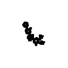 Cc1cc(-c2nc(-c3cc(C)c(CBr)c(CBr)c3)no2)ccc1-c1ccccc1